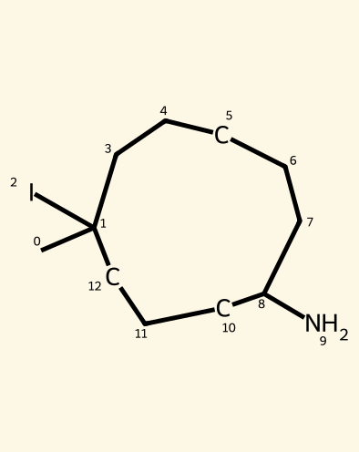 CC1(I)CCCCCC(N)CCC1